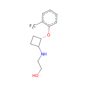 OCCNC1CC[C@@H]1Oc1ccccc1C(F)(F)F